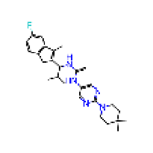 C=C(Nc1cnc(N2CCC(C)(C)CC2)nc1)NC(C1=C(C)c2cc(F)ccc2C1)C(C)C